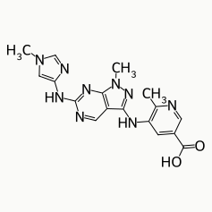 Cc1ncc(C(=O)O)cc1Nc1nn(C)c2nc(Nc3cn(C)cn3)ncc12